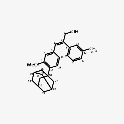 COc1cc(C=C(CO)c2cccc(C(F)(F)F)c2)ccc1C12CC3CC(CC(C3)C1)C2